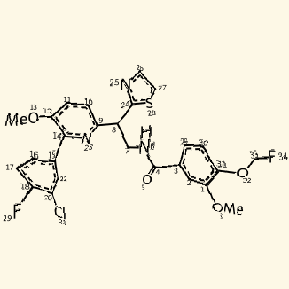 COc1cc(C(=O)NCC(c2ccc(OC)c(-c3ccc(F)c(Cl)c3)n2)c2nccs2)ccc1OCF